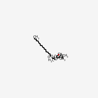 CCCCCCCCCCCCCCCCCC(=O)OCC1(C)COC2(CC(C)N(OC(C)=O)C(C)C2)OC1